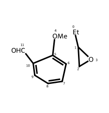 CCC1CO1.COc1ccccc1C=O